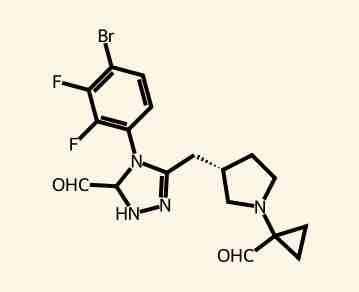 O=CC1NN=C(C[C@@H]2CCN(C3(C=O)CC3)C2)N1c1ccc(Br)c(F)c1F